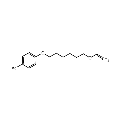 C=COCCCCCCOc1ccc(C(C)=O)cc1